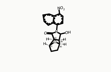 O=C1[C@H]2[C@@H](C(O)N1c1ccc([N+](=O)[O-])c3ccccc13)[C@H]1CC[C@@H]2O1